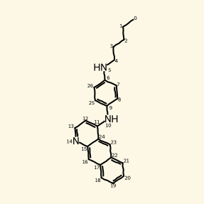 CCCCCNc1ccc(Nc2ccnc3cc4ccccc4cc23)cc1